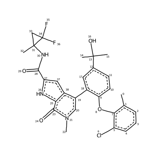 Cc1cccc(Cl)c1Oc1ccc(C(C)(C)O)cc1-c1cn(C)c(=O)c2[nH]c(C(=O)NC3(C)CC3(F)F)cc12